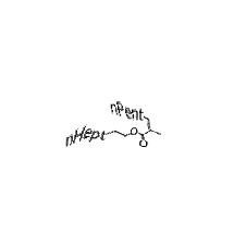 CCCCCC=C(C)C(=O)OCCCCCCCCC